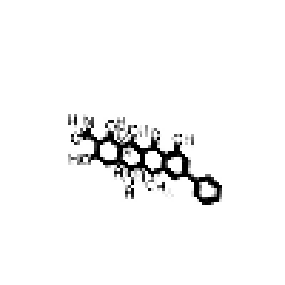 C[C@H]1c2cc(-c3ccccc3)cc(O)c2C(=O)C2=C(O)[C@]3(O)C(=O)C(C(N)=O)C(O)C[C@@H]3[C@@H](O)[C@@H]21